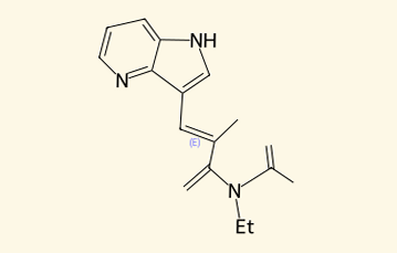 C=C(C)N(CC)C(=C)/C(C)=C/c1c[nH]c2cccnc12